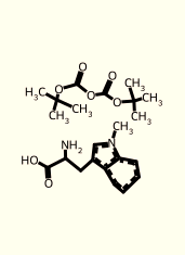 CC(C)(C)OC(=O)OC(=O)OC(C)(C)C.Cn1cc(CC(N)C(=O)O)c2ccccc21